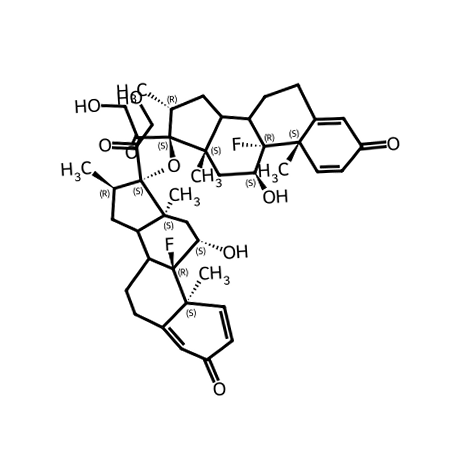 C[C@@H]1CC2C3CCC4=CC(=O)C=C[C@]4(C)[C@@]3(F)[C@@H](O)C[C@]2(C)[C@]1(O[C@@]1(C(=O)CO)[C@H](C)CC2C3CCC4=CC(=O)C=C[C@]4(C)[C@@]3(F)[C@@H](O)C[C@@]21C)C(=O)CO